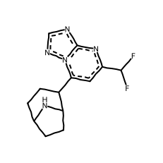 FC(F)c1cc(C2CCC3CCC2N3)n2ncnc2n1